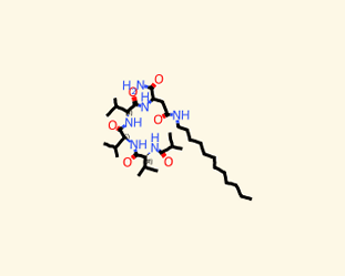 CCCCCCCCCCCCNC(=O)CC(NC(=O)[C@H](NC(=O)[C@@H](NC(=O)[C@H](NC(=O)C(C)C)C(C)C)C(C)C)C(C)C)C(N)=O